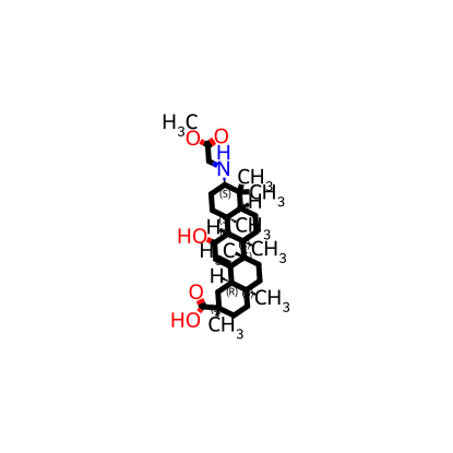 COC(=O)CN[C@H]1CC[C@]2(C)[C@H]3C(O)C=C4[C@@H]5C[C@@](C)(C(=O)O)CC[C@]5(C)CC[C@@]4(C)[C@]3(C)CC[C@H]2C1(C)C